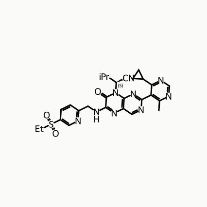 CCS(=O)(=O)c1ccc(CNc2nc3cnc(-c4c(C)ncnc4C4CC4)nc3n([C@H](C#N)C(C)C)c2=O)nc1